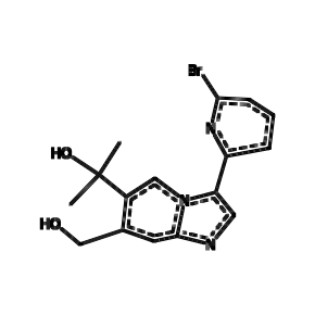 CC(C)(O)c1cn2c(-c3cccc(Br)n3)cnc2cc1CO